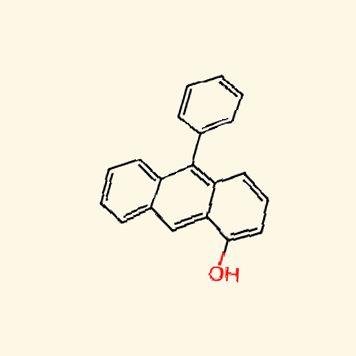 Oc1cccc2c(-c3ccccc3)c3ccccc3cc12